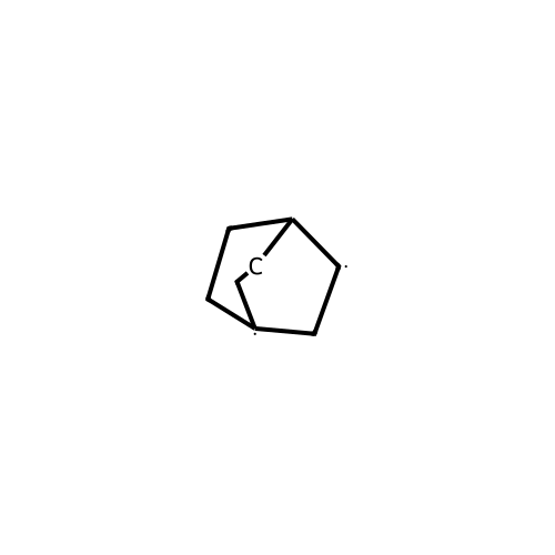 [CH]1C[C]2CCC1CC2